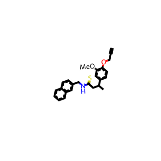 C#CCOc1ccc(C(C)CC(=S)NCc2ccc3ccccc3c2)cc1OC